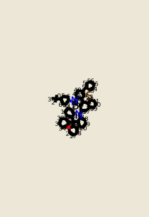 CC(C)(C)c1ccc(N2B3c4cccc5c4N(c4ccccc4C5(c4ccccc4)c4ccccc4)c4cc5ccccc5c(c43)-c3c2ccc2c3sc3ccccc32)cc1